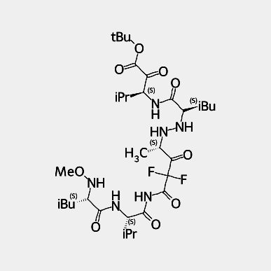 CC[C@H](C)C(NN[C@@H](C)C(=O)C(F)(F)C(=O)NC(=O)[C@@H](NC(=O)C(NOC)[C@@H](C)CC)C(C)C)C(=O)N[C@H](C(=O)C(=O)OC(C)(C)C)C(C)C